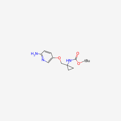 CC(C)(C)OC(=O)NC1(COc2ccc(N)nc2)CC1